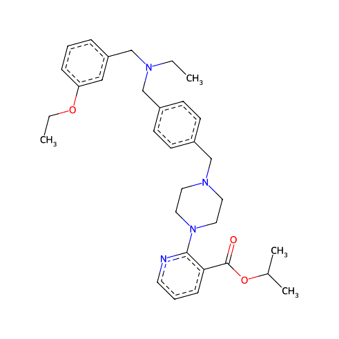 CCOc1cccc(CN(CC)Cc2ccc(CN3CCN(c4ncccc4C(=O)OC(C)C)CC3)cc2)c1